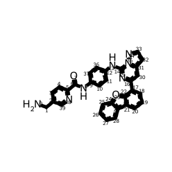 NCc1ccc(C(=O)Nc2ccc(Nc3nc(-c4cccc5c4oc4ccccc45)cc4ccnn34)cc2)nc1